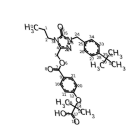 CCCn1c(COC(=O)c2ccc(OC(C)(C)C(=O)O)cc2)nn(Cc2ccc(C(C)(C)C)cc2)c1=O